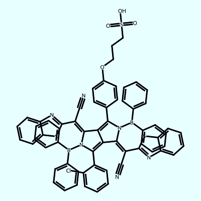 N#C/C(c1nc2ccccc2s1)=c1\c2c(-c3ccccc3Cl)n(B(c3ccccc3)c3ccccc3)/c(=C(/C#N)c3nc4ccccc4s3)c2c(-c2ccc(OCCCS(=O)(=O)O)cc2)n1B(c1ccccc1)c1ccccc1